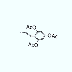 [CH2]/C=C/c1c(OC(C)=O)cc(OC(C)=O)cc1OC(C)=O